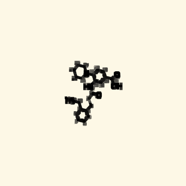 O=C(CCc1ccccc1CS)Nc1cc(C(=O)O)ccc1N1CCCCC1